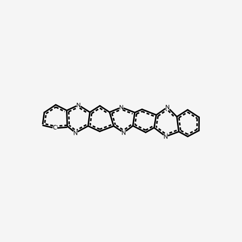 c1ccc2nc3cc4nc5cc6nc7ccccc7nc6cc5nc4cc3nc2c1